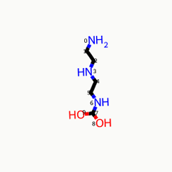 NCCNCCNC(O)O